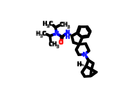 CC(C)N(C(=O)N[C@H]1CC2(CCN(C3CC45CC4CC[C@@H]35)CC2)c2ccccc21)C(C)C